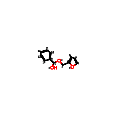 OC(OCc1ccco1)c1ccccc1